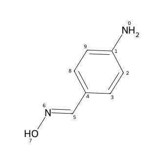 Nc1ccc(/C=N/O)cc1